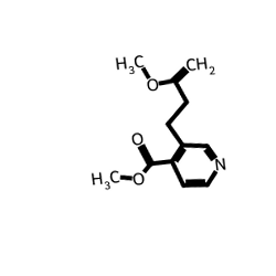 C=C(CCc1cnccc1C(=O)OC)OC